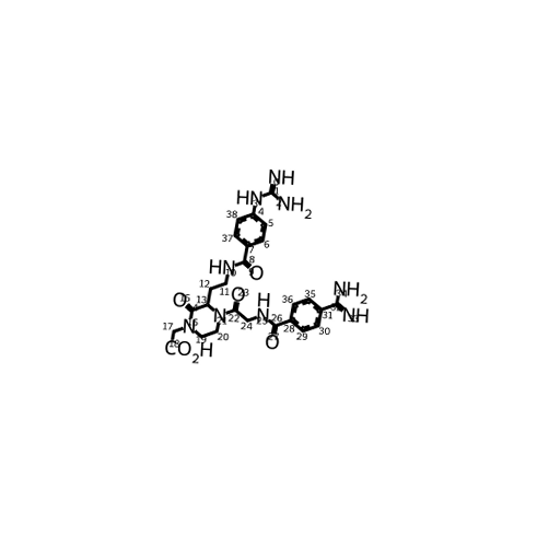 N=C(N)Nc1ccc(C(=O)NCCC2C(=O)N(CC(=O)O)CCN2C(=O)CNC(=O)c2ccc(C(=N)N)cc2)cc1